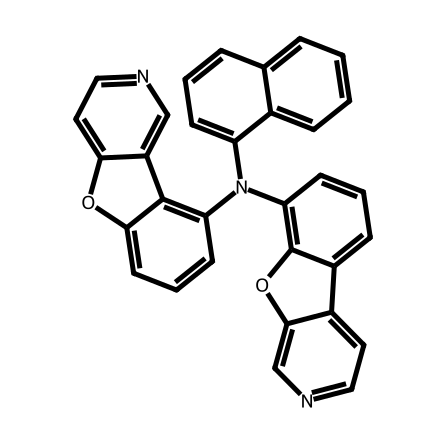 c1ccc2c(N(c3cccc4c3oc3cnccc34)c3cccc4oc5ccncc5c34)cccc2c1